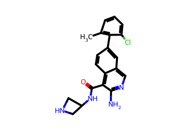 Cc1cccc(Cl)c1-c1ccc2c(C(=O)NC3CNC3)c(N)ncc2c1